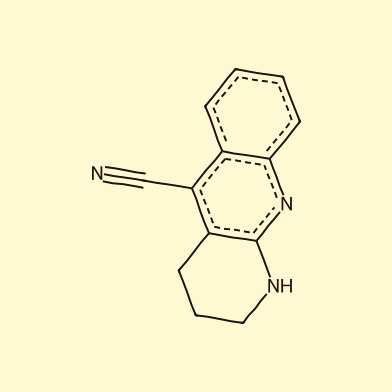 N#Cc1c2c(nc3ccccc13)NCCC2